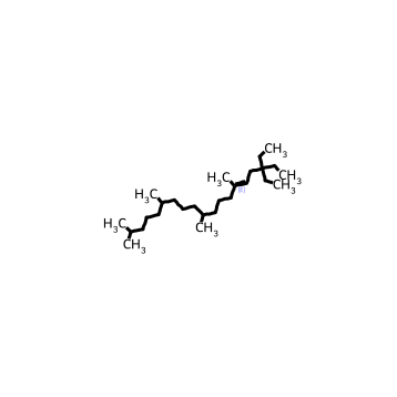 CCC(CC)(CC)C/C=C(\C)CCCC(C)CCCC(C)CCCC(C)C